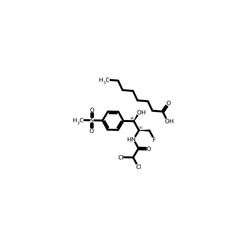 CCCCCCCC(=O)O.CS(=O)(=O)c1ccc([C@@H](O)[C@@H](CF)NC(=O)C(Cl)Cl)cc1